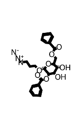 [N-]=[N+]=NCCCO[C@@H]1OC(COC(=O)c2ccccc2)[C@H](O)C(O)C1OC(=O)c1ccccc1